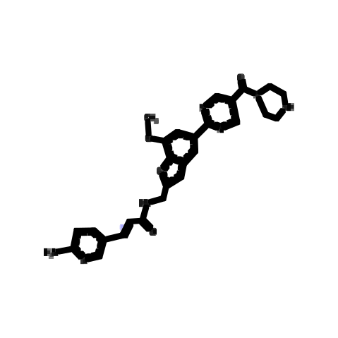 COc1cc(-c2ncc(C(=O)N3CCNCC3)cn2)cc2cc(CNC(=O)/C=C/c3ccc(N)nc3)oc12